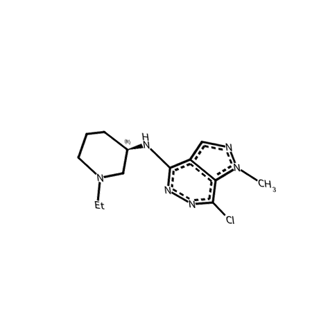 CCN1CCC[C@@H](Nc2nnc(Cl)c3c2cnn3C)C1